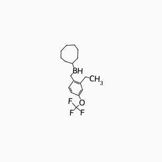 CCc1cc(OC(F)(F)F)ccc1CBC1CCCCCCC1